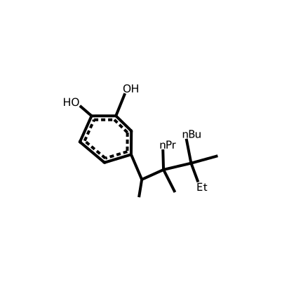 CCCCC(C)(CC)C(C)(CCC)C(C)c1ccc(O)c(O)c1